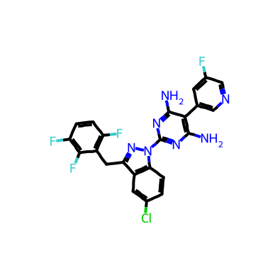 Nc1nc(-n2nc(Cc3c(F)ccc(F)c3F)c3cc(Cl)ccc32)nc(N)c1-c1cncc(F)c1